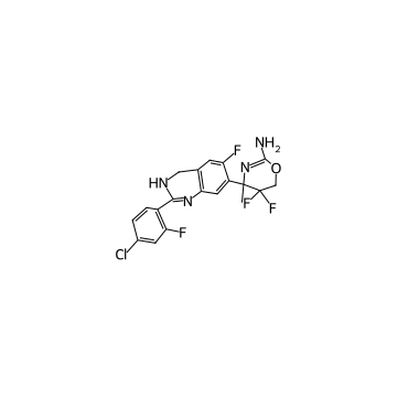 CC1(c2cc3c(cc2F)CNC(c2ccc(Cl)cc2F)=N3)N=C(N)OCC1(F)F